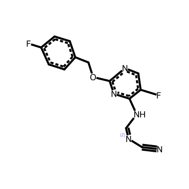 N#C/N=C\Nc1nc(OCc2ccc(F)cc2)ncc1F